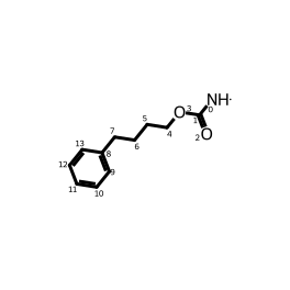 [NH]C(=O)OCCCCc1ccccc1